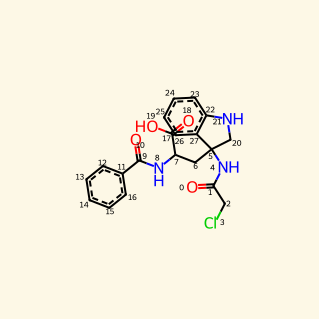 O=C(CCl)NC1(CC(NC(=O)c2ccccc2)C(=O)O)CNc2ccccc21